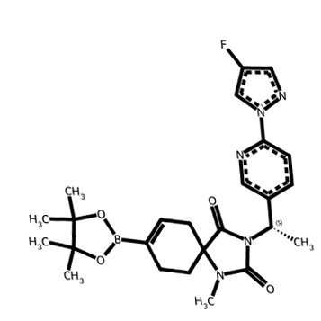 C[C@@H](c1ccc(-n2cc(F)cn2)nc1)N1C(=O)N(C)C2(CC=C(B3OC(C)(C)C(C)(C)O3)CC2)C1=O